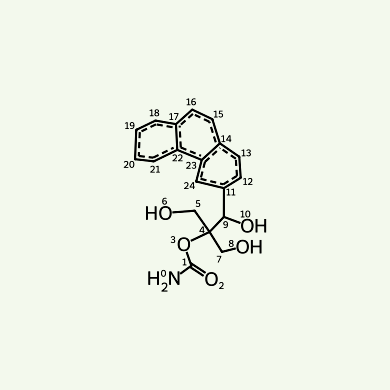 NC(=O)OC(CO)(CO)C(O)c1ccc2ccc3ccccc3c2c1